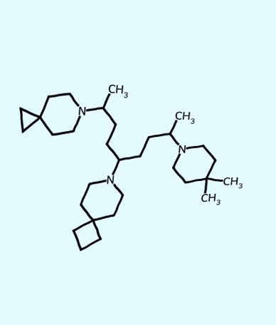 CC(CCC(CCC(C)N1CCC2(CC1)CC2)N1CCC2(CCC2)CC1)N1CCC(C)(C)CC1